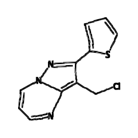 ClCc1c(-c2cccs2)nn2cccnc12